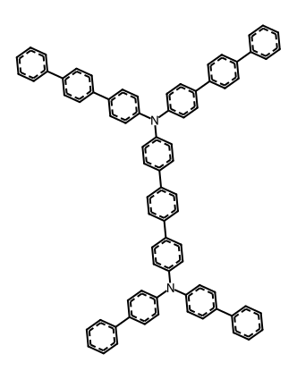 c1ccc(-c2ccc(-c3ccc(N(c4ccc(-c5ccc(-c6ccccc6)cc5)cc4)c4ccc(-c5ccc(-c6ccc(N(c7ccc(-c8ccccc8)cc7)c7ccc(-c8ccccc8)cc7)cc6)cc5)cc4)cc3)cc2)cc1